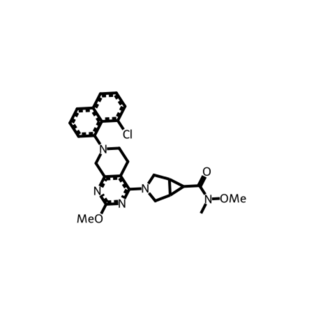 COc1nc2c(c(N3CC4C(C3)C4C(=O)N(C)OC)n1)CCN(c1cccc3cccc(Cl)c13)C2